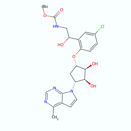 Cc1ncnc2c1ccn2[C@@H]1C[C@H](Oc2ccc(Cl)cc2C(O)CNC(=O)OC(C)(C)C)[C@@H](O)[C@H]1O